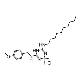 CCCCCCCCCCNC1=NC(C)(C)N=C(NCc2ccc(OC)cc2)N1.Cl